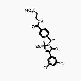 CCCCC1(C)N=C(c2cc(Cl)cc(Cl)c2)C(=O)N1[C@H](C)c1ccc(C(=O)NCCC(=O)O)cc1